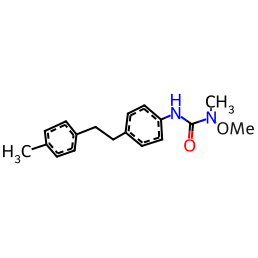 CON(C)C(=O)Nc1ccc(CCc2ccc(C)cc2)cc1